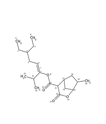 CCC(CC)C/C=C(/OC(=O)C1C(=O)OC2CC1CC2C)C(C)C